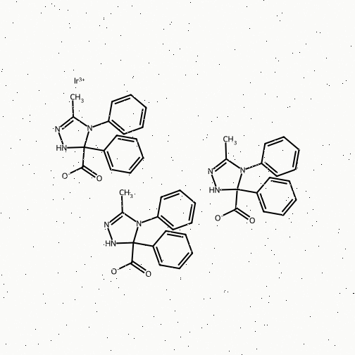 CC1=NNC(C(=O)[O-])(c2ccccc2)N1c1ccccc1.CC1=NNC(C(=O)[O-])(c2ccccc2)N1c1ccccc1.CC1=NNC(C(=O)[O-])(c2ccccc2)N1c1ccccc1.[Ir+3]